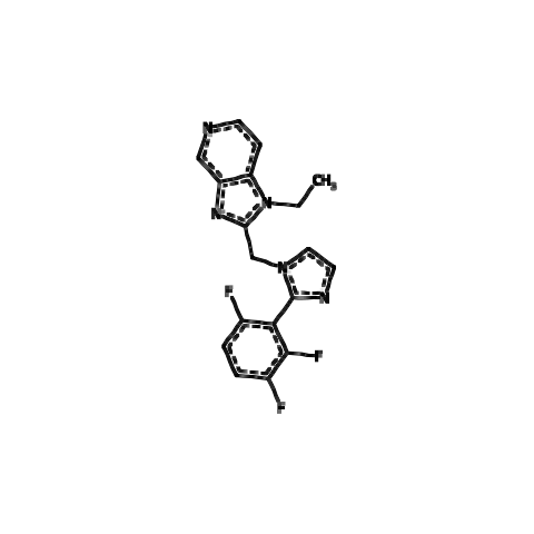 CCn1c(Cn2ccnc2-c2c(F)ccc(F)c2F)nc2cnccc21